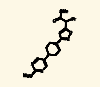 COC(=O)C(c1cc(N2CCC(c3cnc(OC)nc3)CC2)no1)C(C)C